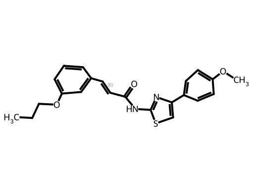 CCCOc1cccc(/C=C/C(=O)Nc2nc(-c3ccc(OC)cc3)cs2)c1